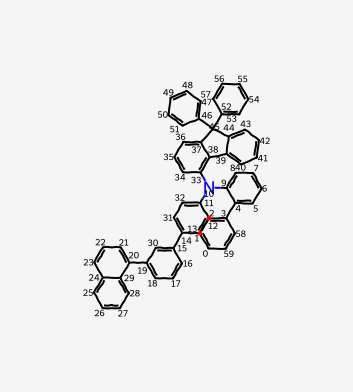 c1ccc(-c2ccccc2N(c2ccc(-c3cccc(-c4cccc5ccccc45)c3)cc2)c2cccc3c2-c2ccccc2C3(c2ccccc2)c2ccccc2)cc1